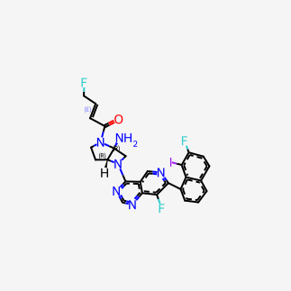 N[C@@]12CN(c3ncnc4c(F)c(-c5cccc6ccc(F)c(I)c56)ncc34)[C@@H]1CCN2C(=O)/C=C/CF